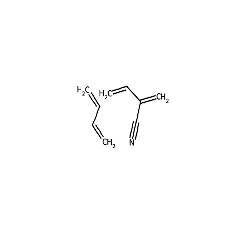 C=CC(=C)C#N.C=CC=C